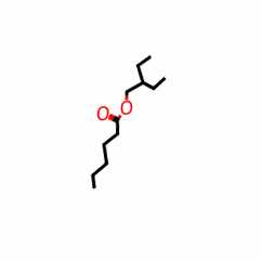 CCCCCC(=O)OCC(CC)CC